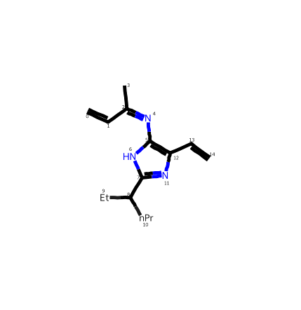 C=C/C(C)=N\c1[nH]c(C(CC)CCC)nc1C=C